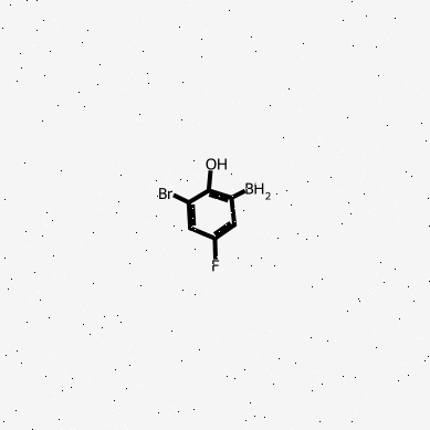 Bc1cc(F)cc(Br)c1O